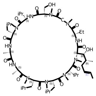 C/C=C/C[C@@H](C)[C@@H](O)[C@H]1C(=O)N[C@@H](CC)C(=O)N(C)CC(=O)N(C)[C@@H](CO)C(=O)N[C@@H](C(C)C)C(=O)N(C)[C@@H](CC(C)C)C(=O)N[C@@H](C)C(=O)N[C@@H](C)C(=O)N(C)[C@@H](CC(C)C)C(=O)N(C)[C@@H](CC(C)C)C(=O)N(C)[C@@H](C(C)C)C(=O)N1C